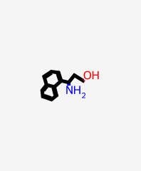 NC(CCO)c1cccc2ccccc12